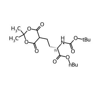 CCCCOC(=O)[C@H](CCC1C(=O)OC(C)(C)OC1=O)NC(=O)OC(C)(C)C